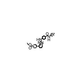 CCOC(=O)N1CC=C(c2cccn3nc(Nc4ccc(C(=O)NC5CN(C)C5)cc4)nc23)CC1